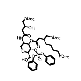 CCCCCCCCCCCCCC[C@H](CCCCCCCCCCC)CC(=O)O[C@H]1[C@H](OP(=O)(Oc2ccccc2)Oc2ccccc2)[C@@H](CO)OC[C@H]1NC(=O)C[C@H](O)CCCCCCCCCCC